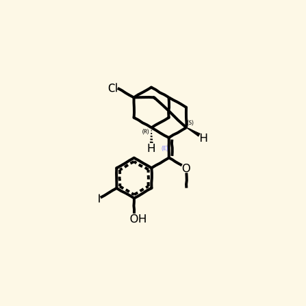 CO/C(=C1/[C@@H]2CC3C[C@H]1CC(Cl)(C3)C2)c1ccc(I)c(O)c1